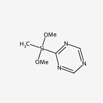 CO[Si](C)(OC)c1ncncn1